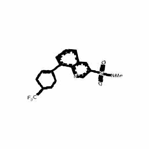 CNS(=O)(=O)c1cnc2c(C3=CCC(C(F)(F)F)CC3)cccc2c1